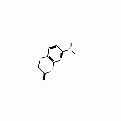 O=C1COc2ccc(N(O)C(=O)O)nc2N1